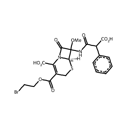 COC1(NC(=O)C(C(=O)O)c2ccccc2)C(=O)N2C(C(=O)O)=C(C(=O)OCCBr)CS[C@@H]21